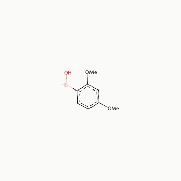 COc1ccc(BO)c(OC)c1